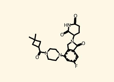 CC1(C)CC(C(=O)N2CCN(c3cc(F)cc4c3CN(C3CCC(=O)NC3=O)C4=O)CC2)C1